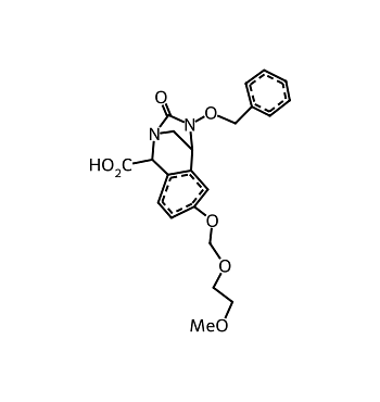 COCCOCOc1ccc2c(c1)C1CN(C(=O)N1OCc1ccccc1)C2C(=O)O